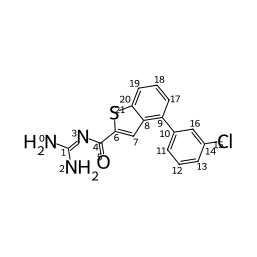 NC(N)=NC(=O)c1cc2c(-c3cccc(Cl)c3)cccc2s1